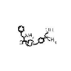 CN(CCO)c1ccc(CN2CCN(C(=O)[C@@H](N)Cc3ccccc3)CC2)cc1